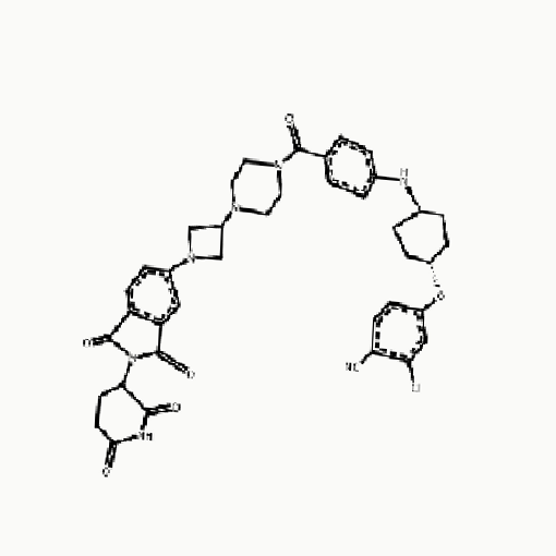 N#Cc1ccc(O[C@H]2CC[C@H](Nc3ccc(C(=O)N4CCN(C5CN(c6ccc7c(c6)C(=O)N(C6CCC(=O)NC6=O)C7=O)C5)CC4)cc3)CC2)cc1Cl